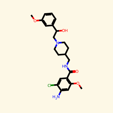 COc1cccc(C(O)CN2CCC(CNC(=O)c3cc(Cl)c(N)cc3OC)CC2)c1